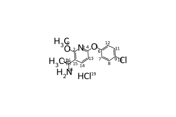 COc1nc(Oc2ccc(Cl)cc2)ccc1[C@H](C)N.Cl